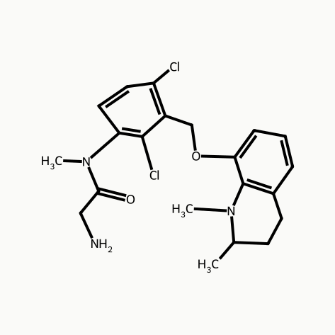 CC1CCc2cccc(OCc3c(Cl)ccc(N(C)C(=O)CN)c3Cl)c2N1C